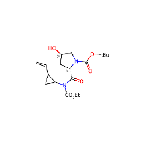 C=CC1CC1N(C(=O)OCC)C(=O)[C@@H]1C[C@@H](O)CN1C(=O)OC(C)(C)C